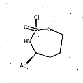 CC(=O)[C@@H]1CCCSP(=O)(Cl)N1